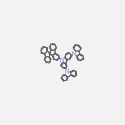 C1=CC2c3ccccc3N(c3ccc4c(c3)c3cc(-n5c6ccccc6c6ccccc65)ccc3n4-c3ccc4c(c3)-c3ccccc3C43c4ccccc4-c4ccccc43)C2C=C1